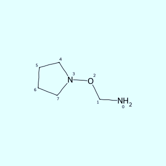 NCON1CCCC1